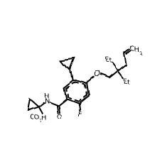 C=CCC(CC)(CC)COc1cc(F)c(C(=O)NC2(C(=O)O)CC2)cc1C1CC1